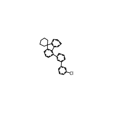 Clc1cccc(-c2cccc(-c3cccc4c3-c3ccccc3C43CCCCC3)c2)c1